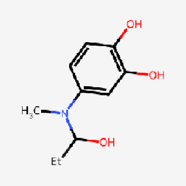 CCC(O)N(C)c1ccc(O)c(O)c1